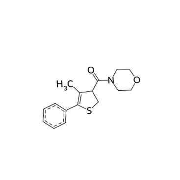 CC1=C(c2ccccc2)SCC1C(=O)N1CCOCC1